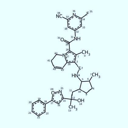 Cc1c(SNC2C(C)CCC2CC(C)(O)c2cc(-c3ccccc3)on2)c2n(c1C(=O)Nc1cc(F)nc(C#N)c1)CCC=C2